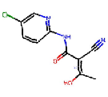 C/C(O)=C(\C#N)C(=O)Nc1ccc(Cl)cn1